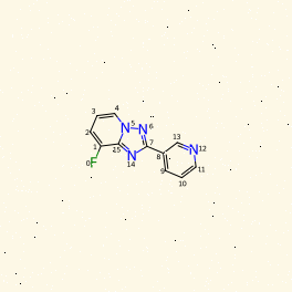 Fc1cccn2nc(-c3cccnc3)nc12